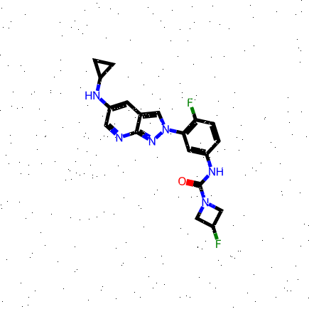 O=C(Nc1ccc(F)c(-n2cc3cc(NC4CC4)cnc3n2)c1)N1CC(F)C1